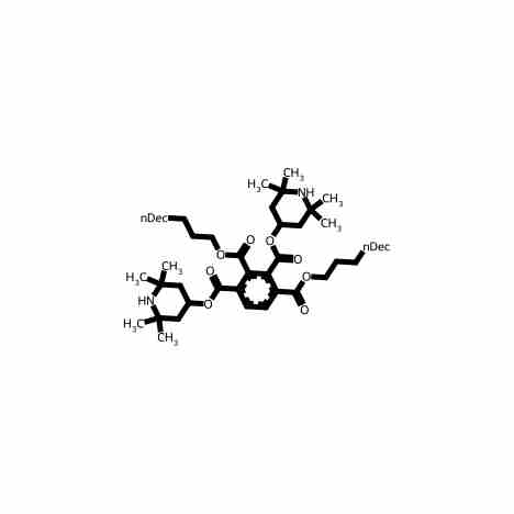 CCCCCCCCCCCCCOC(=O)c1ccc(C(=O)OC2CC(C)(C)NC(C)(C)C2)c(C(=O)OCCCCCCCCCCCCC)c1C(=O)OC1CC(C)(C)NC(C)(C)C1